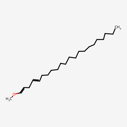 CCCCCCCCCCCCCCCCCC=CCC=[C]OC